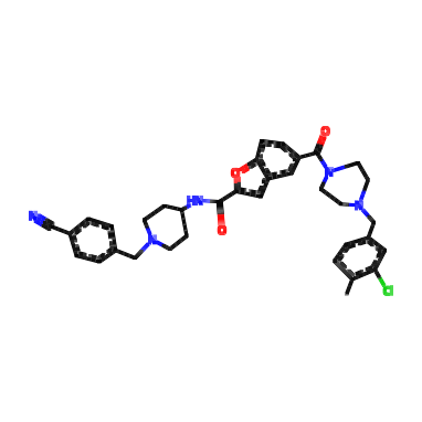 Cc1ccc(CN2CCN(C(=O)c3ccc4oc(C(=O)NC5CCN(Cc6ccc(C#N)cc6)CC5)cc4c3)CC2)cc1Cl